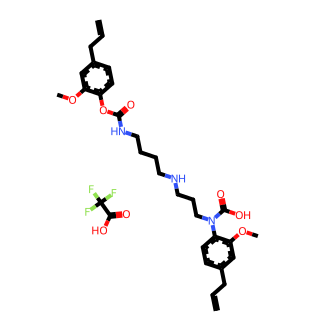 C=CCc1ccc(OC(=O)NCCCCNCCCN(C(=O)O)c2ccc(CC=C)cc2OC)c(OC)c1.O=C(O)C(F)(F)F